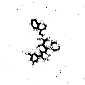 O=C(NCCC1CCOc2ccccc21)c1cnc2c(-c3cc(Cl)cc(Cl)c3)cnnc2c1N1CCOCC1